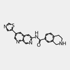 O=C(Nc1cc2cc(-c3cncs3)cnc2cn1)c1ccc2c(c1)CNCC2